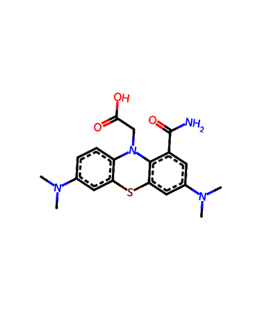 CN(C)c1ccc2c(c1)Sc1cc(N(C)C)cc(C(N)=O)c1N2CC(=O)O